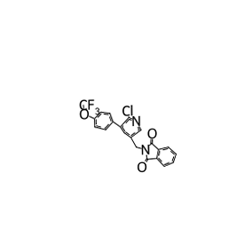 O=C1c2ccccc2C(=O)N1Cc1cnc(Cl)c(-c2ccc(OC(F)(F)F)cc2)c1